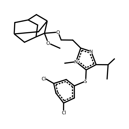 COC1(OCCc2nc(C(C)C)c(Sc3cc(Cl)cc(Cl)c3)n2C)C2CC3CC(C2)CC1C3